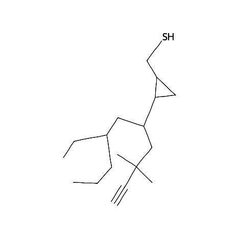 C#CC(C)(C)CC(CC(CC)CCC)C1CC1CS